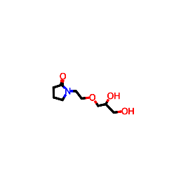 O=C1CCCN1CCOCC(O)CO